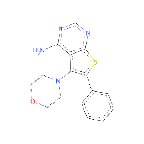 Nc1ncnc2sc(-c3ccccc3)c(N3CCOCC3)c12